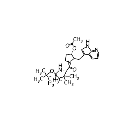 CC(=O)O[C@H]1CCN(C(=O)[C@@H](NC(=O)OC(C)(C)C)C(C)(C)C)[C@@H]1Cc1c[nH]c2ncccc12